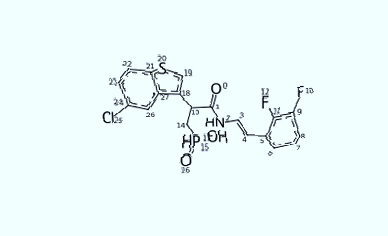 O=C(N/C=C/c1cccc(F)c1F)C(C[PH](=O)O)c1csc2ccc(Cl)cc12